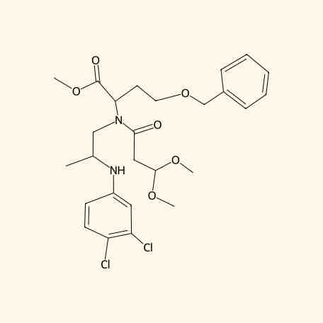 COC(=O)C(CCOCc1ccccc1)N(CC(C)Nc1ccc(Cl)c(Cl)c1)C(=O)CC(OC)OC